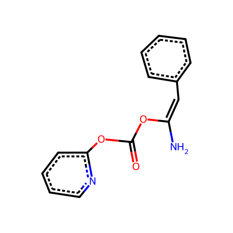 NC(=Cc1ccccc1)OC(=O)Oc1ccccn1